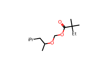 CCC(C)(C)C(=O)OCOC(C)CC(C)C